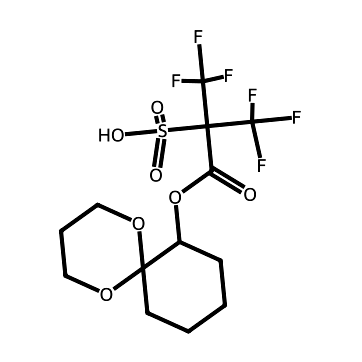 O=C(OC1CCCCC12OCCCO2)C(C(F)(F)F)(C(F)(F)F)S(=O)(=O)O